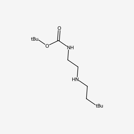 CC(C)(C)CCNCCNC(=O)OC(C)(C)C